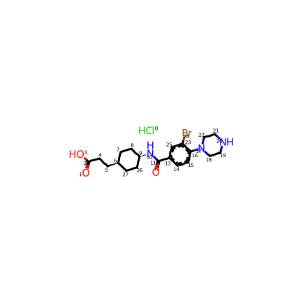 Cl.O=C(O)CC[C@H]1CC[C@H](NC(=O)c2ccc(N3CCNCC3)c(Br)c2)CC1